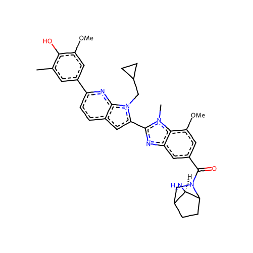 COc1cc(-c2ccc3cc(-c4nc5cc(C(=O)N6CC7CCC6[C@@H]7N)cc(OC)c5n4C)n(CC4CC4)c3n2)cc(C)c1O